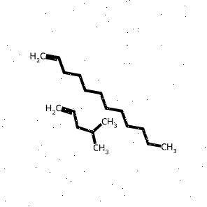 C=CCC(C)C.C=CCCCCCCCCCC